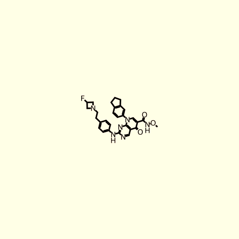 CONC(=O)c1cn(-c2ccc3c(c2)CCC3)c2nc(Nc3ccc(CCN4CC(F)C4)cc3)ncc2c1=O